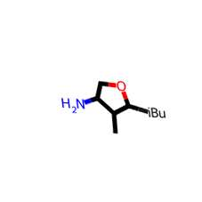 CCC(C)C1OCC(N)C1C